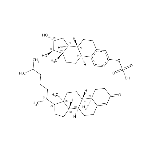 CC(C)CCC[C@@H](C)[C@H]1CC[C@H]2[C@@H]3CCC4=CC(=O)CC[C@]4(C)[C@H]3CC[C@]12C.C[C@]12CC[C@@H]3c4ccc(OS(=O)(=O)O)cc4CC[C@H]3[C@@H]1C[C@@H](O)[C@@H]2O